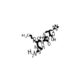 C=CCO/N=C(\C(=O)NC1C(=O)N2C(C(=O)O)=C(CSc3nncs3)CS[C@H]12)c1csc(N)n1